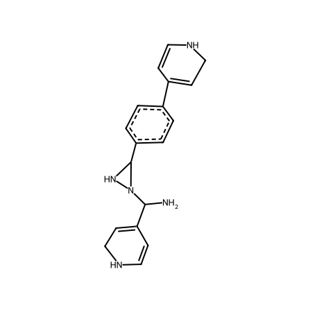 NC(C1=CCNC=C1)N1NC1c1ccc(C2=CCNC=C2)cc1